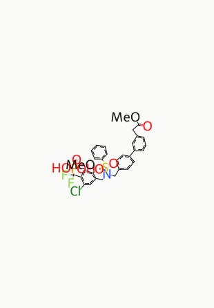 COC(=O)Cc1cccc(-c2ccc(CN(Cc3ccc(C(F)(F)P(=O)(O)O)c(Cl)c3)S(=O)(=O)c3ccccc3OC)cc2)c1